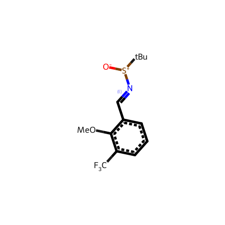 COc1c(/C=N/[S+]([O-])C(C)(C)C)cccc1C(F)(F)F